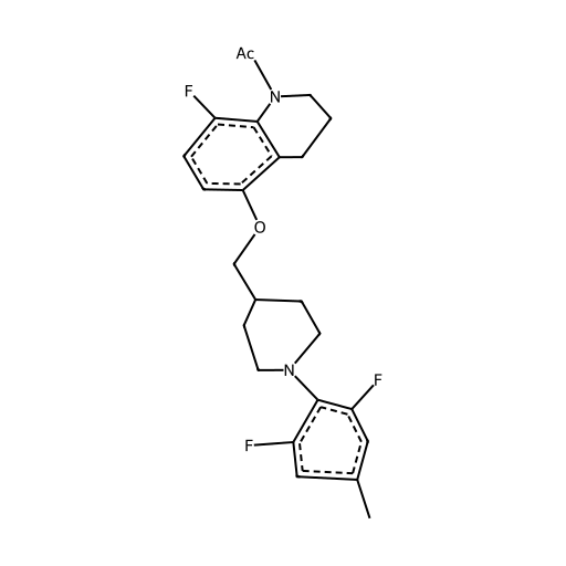 CC(=O)N1CCCc2c(OCC3CCN(c4c(F)cc(C)cc4F)CC3)ccc(F)c21